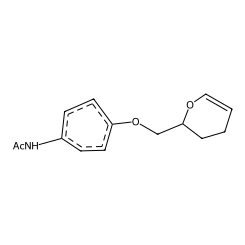 CC(=O)Nc1ccc(OCC2CCC=CO2)cc1